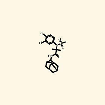 CC(C)(C(=O)NC1C2CC3CC(C2)CC1C3)N(c1ccc(Cl)c(Cl)c1)S(C)(=O)=O